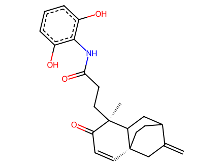 C=C1C[C@@]23C=CC(=O)[C@@](C)(CCC(=O)Nc4c(O)cccc4O)C2CC1CC3